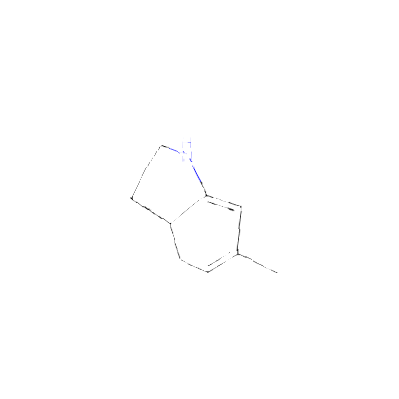 CC1=CCC2CCNC2=C1